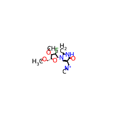 [C-]#[N+]CC1=CN([C@@H]2O[C@H](COC)[C@@H](OC)C2F)C(=C)NC1=O